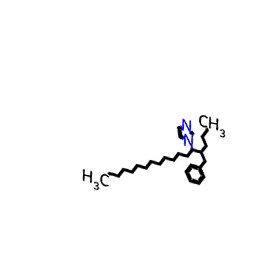 CCCCCCCCCCCCCC(C(CCCC)Cc1ccccc1)n1ccnc1